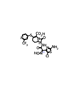 Nc1nc(/C(=N/O)C(=O)N[C@@H]2C(=O)N3C(C(=O)O)=C(Sc4ccnc(C(F)(F)F)c4)CCC23)c(Cl)s1